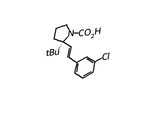 CC(C)(C)[C@]1(C=Cc2cccc(Cl)c2)CCCN1C(=O)O